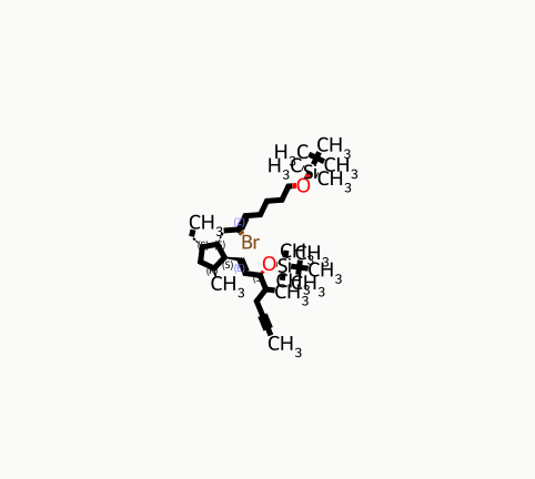 CC#CCC(C)[C@@H](/C=C/[C@@H]1[C@@H](C/C(Br)=C/CCCCO[Si](C)(C)C(C)(C)C)[C@@H](CC)C[C@H]1C)O[Si](C)(C)C(C)(C)C